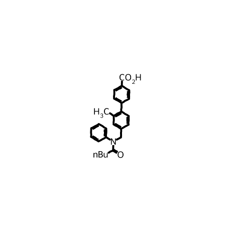 CCCCC(=O)N(Cc1ccc(-c2ccc(C(=O)O)cc2)c(C)c1)c1ccccc1